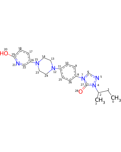 CCC(C)n1ncn(-c2ccc(N3CCN(c4ccc(O)nc4)CC3)cc2)c1=O